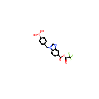 O=C(OC(=O)C(F)(F)F)c1ccc2c(c1)ncn2Cc1ccc(B(O)O)cc1